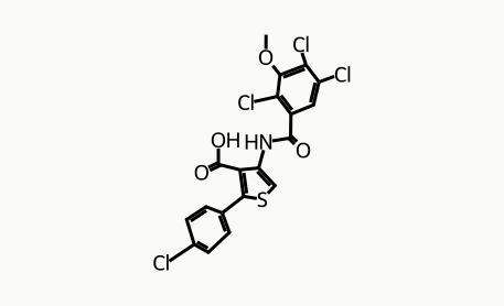 COc1c(Cl)c(Cl)cc(C(=O)Nc2csc(-c3ccc(Cl)cc3)c2C(=O)O)c1Cl